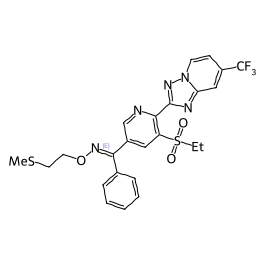 CCS(=O)(=O)c1cc(/C(=N/OCCSC)c2ccccc2)cnc1-c1nc2cc(C(F)(F)F)ccn2n1